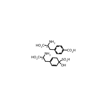 N[C@@H](CC1=CCC(O)(S(=O)(=O)O)C=C1)C(=O)O.N[C@@H](Cc1ccc(C(=O)O)cc1)C(=O)O